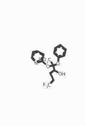 O=C(O)C(Oc1ccccc1)(Oc1ccccn1)C(O)CCC(F)(F)F